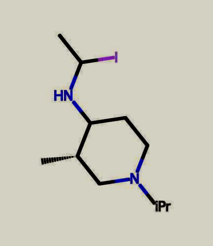 CC(I)NC1CCN(C(C)C)C[C@@H]1C